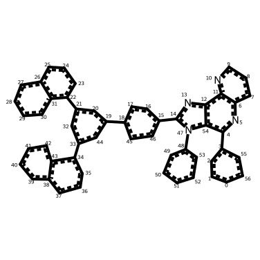 c1ccc(-c2nc3cccnc3c3nc(-c4ccc(-c5cc(-c6cccc7ccccc67)cc(-c6cccc7ccccc67)c5)cc4)n(-c4ccccc4)c23)cc1